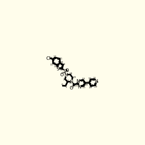 CCC1CN(S(=O)(=O)c2cc3ccc(Cl)cc3s2)CCN1C(=O)c1ncc(-c2ccncc2)cn1